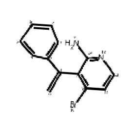 C=C(c1ccccc1)c1c(Br)ccnc1N